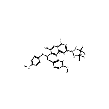 COc1ccc(CN(Cc2ccc(OC)cc2)c2nc3cc(B4OC(C)(C)C(C)(C)O4)cc(F)c3cc2Cl)cc1